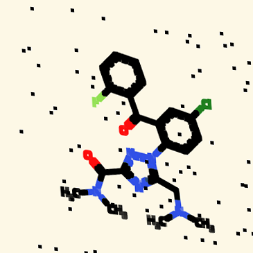 CN(C)Cc1nc(C(=O)N(C)C)nn1-c1ccc(Cl)cc1C(=O)c1ccccc1F